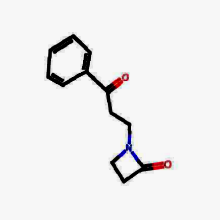 O=C(CCN1CCC1=O)c1ccccc1